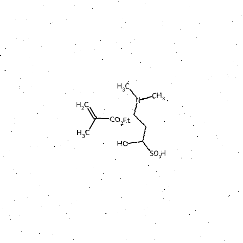 C=C(C)C(=O)OCC.CN(C)CCC(O)S(=O)(=O)O